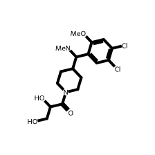 CNC(c1cc(Cl)c(Cl)cc1OC)C1CCN(C(=O)C(O)CO)CC1